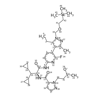 CCc1c(-c2ccc(NC(=O)[C@@H](NC(=O)c3ccnn3CC[S+](C)[O-])C(C3CC3)C3CC3)nc2F)c(C)nn1COCC[Si](C)(C)C